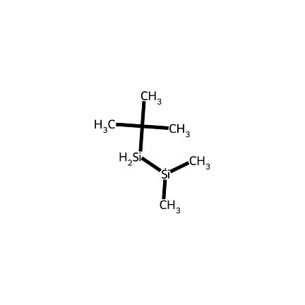 C[Si](C)[SiH2]C(C)(C)C